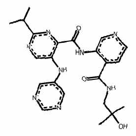 CC(C)c1ncc(Nc2cncnc2)c(C(=O)Nc2cnccc2C(=O)NCC(C)(C)O)n1